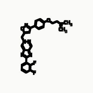 CN(C)CCOc1ccc(-c2cc(Cn3cc4nc(-c5cccc(F)c5F)nc-4cn3)on2)cc1